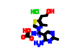 Cc1ncc(C[n+]2csc(CCO)c2C)c(N)n1.Cl.N.[O]=[V](=[O])[OH]